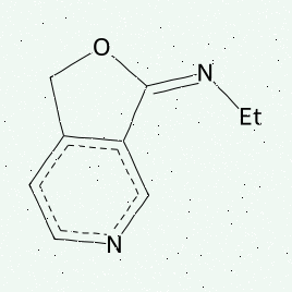 CC/N=C1/OCc2ccncc21